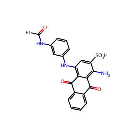 CCC(=O)Nc1cccc(Nc2cc(S(=O)(=O)O)c(N)c3c2C(=O)c2ccccc2C3=O)c1